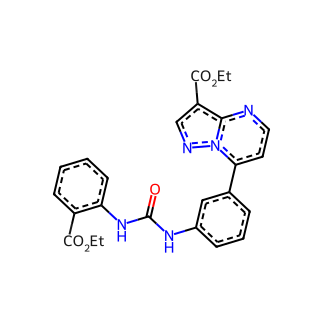 CCOC(=O)c1ccccc1NC(=O)Nc1cccc(-c2ccnc3c(C(=O)OCC)cnn23)c1